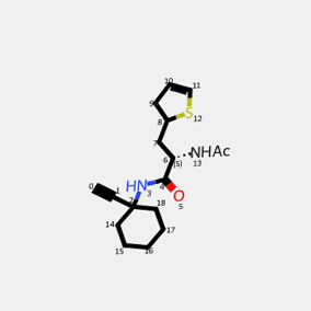 C#CC1(NC(=O)[C@H](CC2CC=CS2)NC(C)=O)CCCCC1